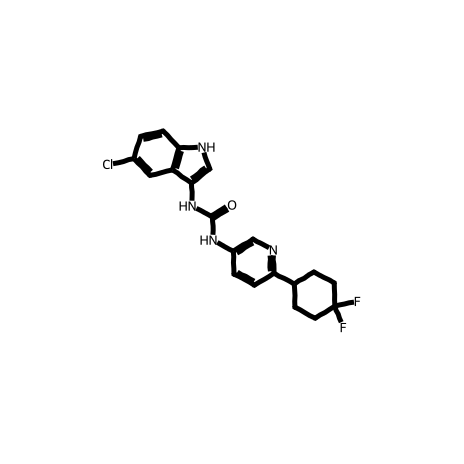 O=C(Nc1ccc(C2CCC(F)(F)CC2)nc1)Nc1c[nH]c2ccc(Cl)cc12